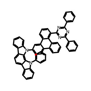 c1ccc(-c2nc(-c3ccccc3)nc(-c3cccc4c5cc(-n6c7ccccc7c7ccc8c9ccccc9n(-c9ccccc9)c8c76)ccc5c5ccccc5c34)n2)cc1